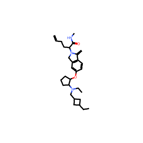 C=CCCC(C(=O)NC)N1Cc2cc(OC3CCCC3N(CC)CC3CC(CC)C3)ccc2C1=C